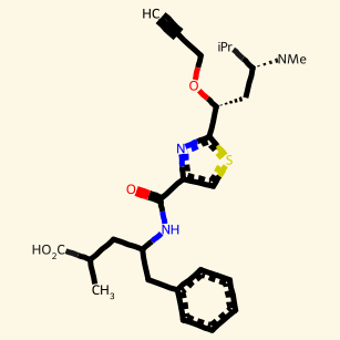 C#CCO[C@H](C[C@@H](NC)C(C)C)c1nc(C(=O)NC(Cc2ccccc2)CC(C)C(=O)O)cs1